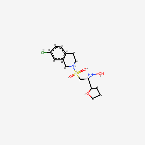 O=S(=O)(C[C@@H](NO)[C@H]1CCCO1)N1CCc2ccc(Cl)cc2C1